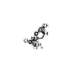 N/C(Cl)=C\N(N)c1ccc(Cl)cc1-c1cc(=O)n(C2CCCCCNC(=O)C3CN(CC(=O)O)CCN3c3cccc2c3)cn1